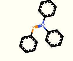 c1ccc(P=[N+](c2ccccc2)c2ccccc2)cc1